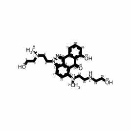 CN(CCO)CCn1nc2c3c(c(N(C)CCNCCO)ccc31)C(=O)c1c(O)cccc1-2